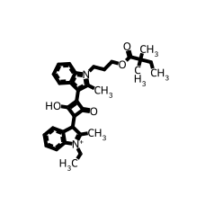 CC[N+]1=C(C)C(C2C(=O)C(c3c(C)n(CCCOC(=O)C(C)(C)CC)c4ccccc34)=C2O)c2ccccc21